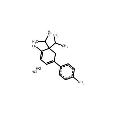 CC(C)C1(C(C)C)CC(c2ccc(N)cc2)=CC=C1N.Cl.Cl